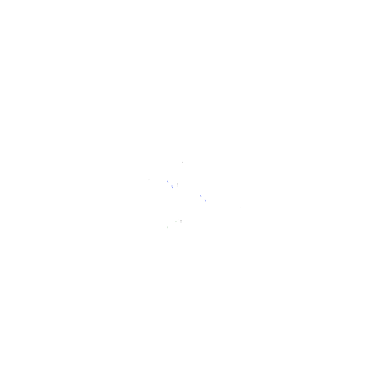 CCN1C=CN(C)C1Cl